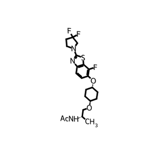 CC(=O)N[C@@H](C)CO[C@H]1CC[C@H](Oc2ccc3nc(N4CCC(F)(F)C4)sc3c2F)CC1